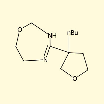 CCCCC1(C2=NCCOCN2)CCOC1